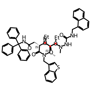 CCOC(OCC)[C@H](C)N(Cc1csc2ccccc12)C(=O)[C@H](CC(=O)NC(c1ccccc1)(c1ccccc1)c1ccccc1)NC(=O)CN(C)NC(=O)NCc1cccc2ccccc12